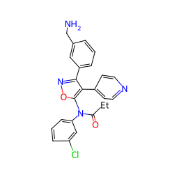 CCC(=O)N(c1cccc(Cl)c1)c1onc(-c2cccc(CN)c2)c1-c1ccncc1